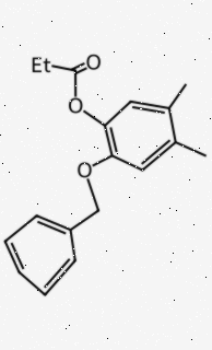 CCC(=O)Oc1cc(C)c(C)cc1OCc1ccccc1